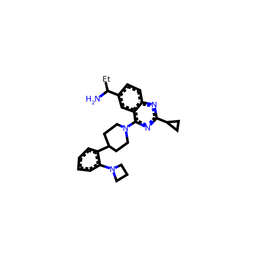 CCC(N)c1ccc2nc(C3CC3)nc(N3CCC(c4ccccc4N4CCC4)CC3)c2c1